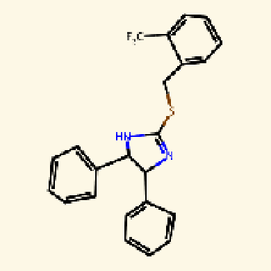 FC(F)(F)c1ccccc1CSC1=NC(c2ccccc2)C(c2ccccc2)N1